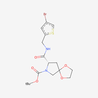 CC(C)(C)OC(=O)N1CC2(C[C@H]1C(=O)NCc1cc(Br)cs1)OCCO2